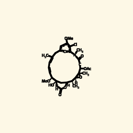 COc1cc2cc(c1Cl)N(C)C(=O)CC(OC(C)=O)[C@]1(C)O[C@H]1[C@H](C)[C@@H]1C[C@@](O)(NC(=O)O1)[C@H](OC)/C=C\C=C(\C)C2